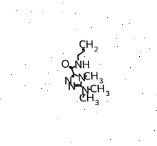 C=CCNC(=O)c1nnc(N(C)C)n1C